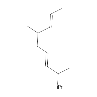 CC=CC(C)CC=CC(C)C(C)C